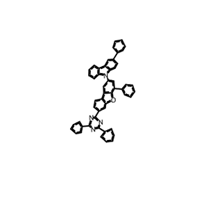 c1ccc(-c2ccc3c(c2)c2ccccc2n3-c2cc(-c3ccccc3)c3oc4cc(-c5nc(-c6ccccc6)nc(-c6ccccc6)n5)ccc4c3c2)cc1